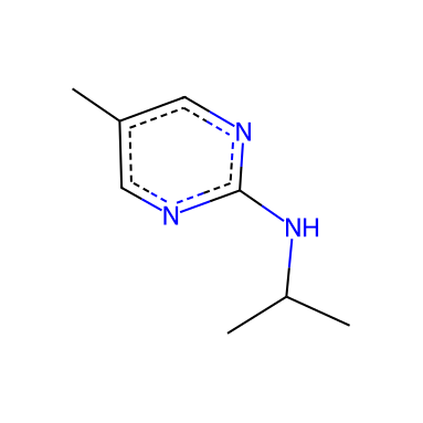 Cc1cnc(NC(C)C)nc1